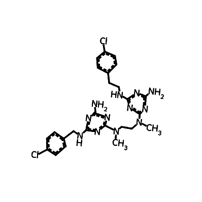 CN(CCN(C)c1nc(N)nc(NCc2ccc(Cl)cc2)n1)c1nc(N)nc(NCCc2ccc(Cl)cc2)n1